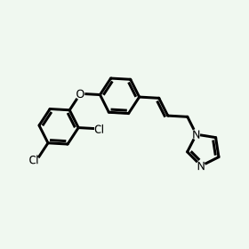 Clc1ccc(Oc2ccc(C=CCn3ccnc3)cc2)c(Cl)c1